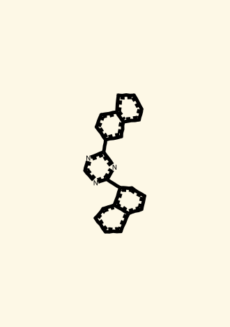 c1ccc2cc(-c3ncnc(-c4cccc5ccccc45)n3)ccc2c1